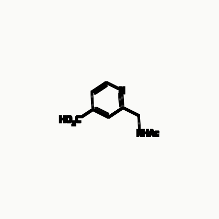 CC(=O)NCc1cc(C(=O)O)ccn1